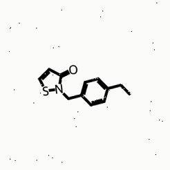 CCc1ccc(Cn2sccc2=O)cc1